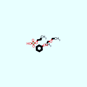 C=CCOS(=O)(=O)O.CCOCC.Oc1ccccc1